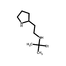 CCC(C)(C)NCCC1CCCN1